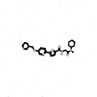 CN(C(=O)CNC(=O)c1ccc(-c2ccc(OCc3cccnc3)cn2)o1)C1CCCCC1